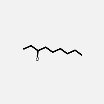 [CH2]CC(Cl)CCCCCC